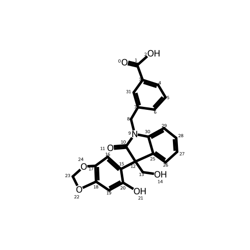 O=C(O)c1cccc(CN2C(=O)C(CO)(c3cc4c(cc3O)OCO4)c3ccccc32)c1